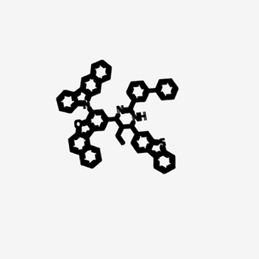 CCC1C(c2cc(-n3c4ccccc4c4cc5ccccc5cc43)c3oc4ccc5ccccc5c4c3c2)N=C(c2cccc(-c3ccccc3)c2)NC1c1ccc2c(c1)sc1ccccc12